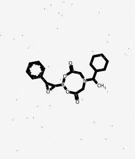 CC(C1CCCCC1)N1CC(=O)OB(C2OC2c2ccccc2)OC(=O)C1